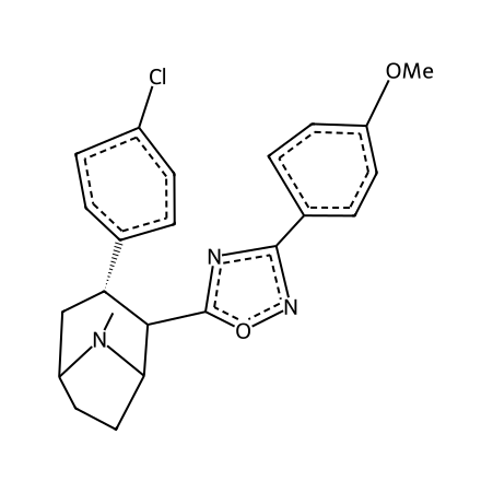 COc1ccc(-c2noc(C3C4CCC(C[C@@H]3c3ccc(Cl)cc3)N4C)n2)cc1